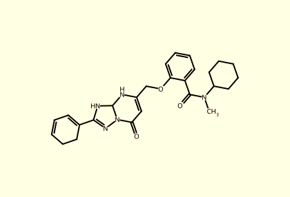 CN(C(=O)c1ccccc1OCC1=CC(=O)N2N=C(C3=CC=CCC3)NC2N1)C1CCCCC1